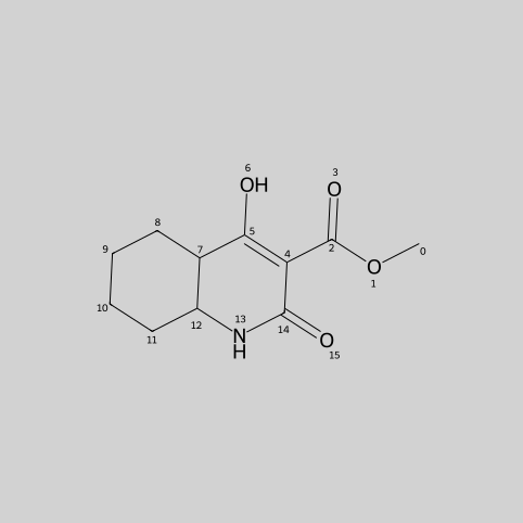 COC(=O)C1=C(O)C2CCCCC2NC1=O